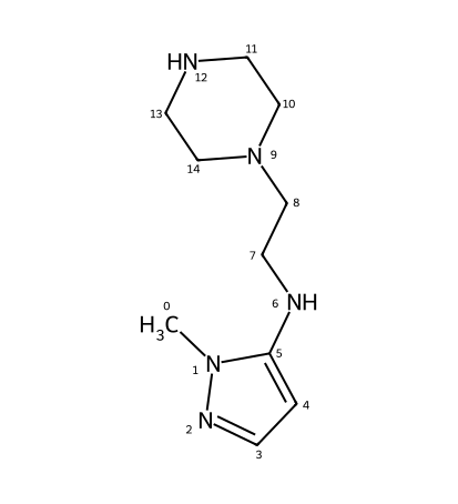 Cn1nccc1NCCN1CCNCC1